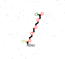 CCCCCCCCCCC(S)OCCOCCOCCOCC(=O)Cl